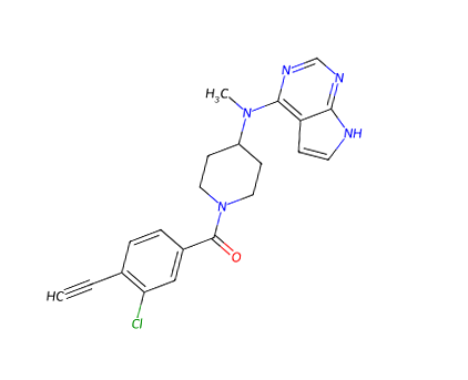 C#Cc1ccc(C(=O)N2CCC(N(C)c3ncnc4[nH]ccc34)CC2)cc1Cl